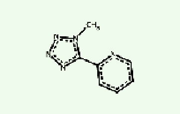 Cn1nnnc1-c1ccccn1